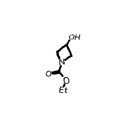 CCOC(=O)N1CC(O)C1